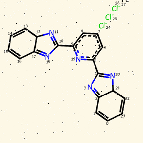 C1=CC2=NC(c3cccc(C4=NC5C=CC=CC5=N4)n3)=NC2C=C1.[Cl-].[Cl-].[Cl-].[Fe+3]